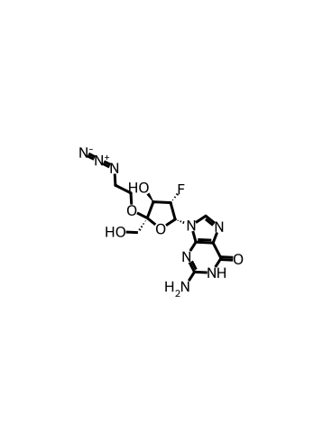 [N-]=[N+]=NCCO[C@]1(CO)O[C@@H](n2cnc3c(=O)[nH]c(N)nc32)[C@@H](F)[C@@H]1O